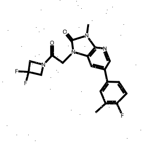 Cc1cc(-c2cnc3c(c2)n(CC(=O)N2CC(F)(F)C2)c(=O)n3C)ccc1F